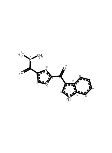 CN(C)C(=O)c1csc(C(=O)c2c[nH]c3ccccc23)n1